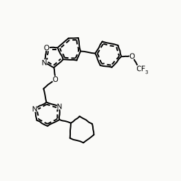 FC(F)(F)Oc1ccc(-c2ccc3onc(OCc4nccc(C5CCCCC5)n4)c3c2)cc1